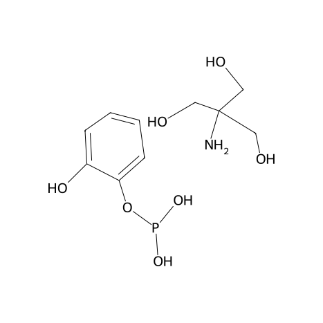 NC(CO)(CO)CO.Oc1ccccc1OP(O)O